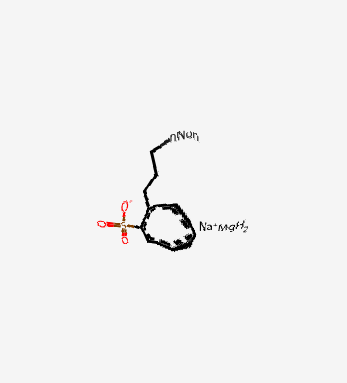 CCCCCCCCCCCCc1ccccc1S(=O)(=O)[O-].[MgH2].[Na+]